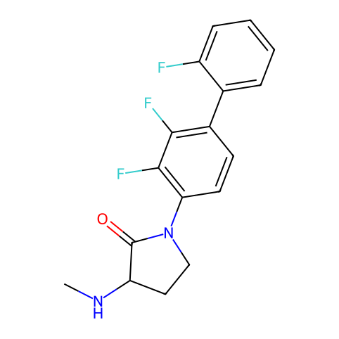 CNC1CCN(c2ccc(-c3ccccc3F)c(F)c2F)C1=O